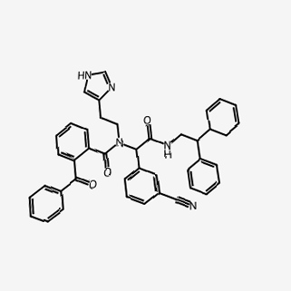 N#Cc1cccc(C(C(=O)NCC(c2ccccc2)C2C=CC=CC2)N(CCc2c[nH]cn2)C(=O)c2ccccc2C(=O)c2ccccc2)c1